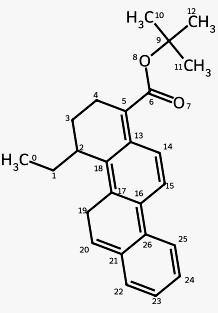 CCC1CCC(C(=O)OC(C)(C)C)=c2ccc3c(c21)CC=c1ccccc1=3